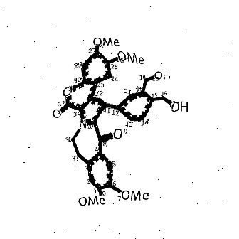 COc1cc2c(cc1OC)C(=O)c1c(-c3ccc(CO)c(CO)c3)c3c4cc(OC)c(OC)cc4oc(=O)c3n1CC2